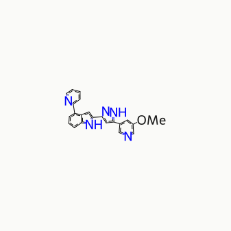 COc1cncc(-c2cc(-c3cc4c(-c5ccccn5)cccc4[nH]3)n[nH]2)c1